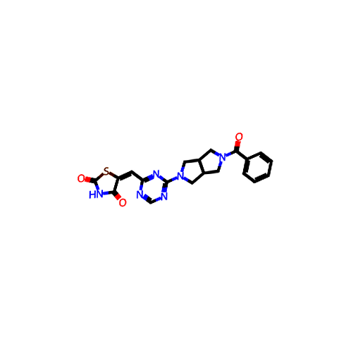 O=C1NC(=O)/C(=C\c2ncnc(N3CC4CN(C(=O)c5ccccc5)CC4C3)n2)S1